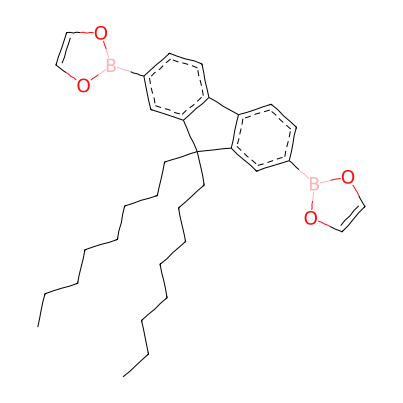 CCCCCCCCC1(CCCCCCCC)c2cc(B3OC=CO3)ccc2-c2ccc(B3OC=CO3)cc21